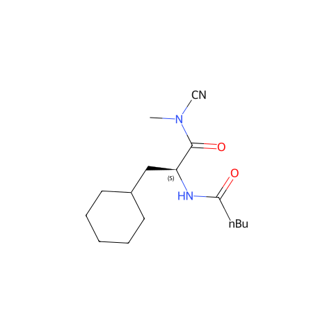 CCCCC(=O)N[C@@H](CC1CCCCC1)C(=O)N(C)C#N